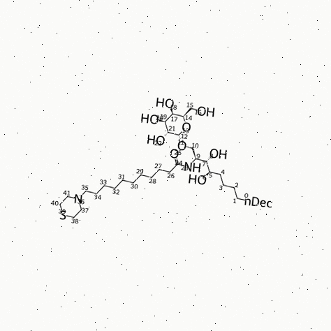 CCCCCCCCCCCCCC[C@@H](O)[C@@H](O)[C@H](CO[C@H]1O[C@H](CO)[C@H](O)[C@H](O)[C@H]1O)NC(=O)CCCCCCCCCCN1CCSCC1